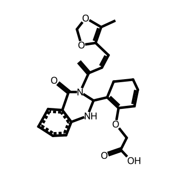 C=C(/C=C\C1=C(C)OCO1)N1C(=O)c2ccccc2NC1C1=C(OCC(=O)O)C=CCC1